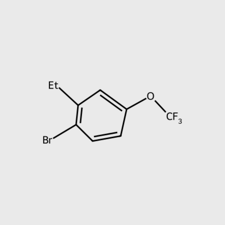 CCc1cc(OC(F)(F)F)ccc1Br